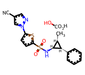 C[C@H]1[C@H](NS(=O)(=O)c2ccc(-n3cc(C#N)cn3)s2)[C@H]1c1ccccc1.O=C(O)O